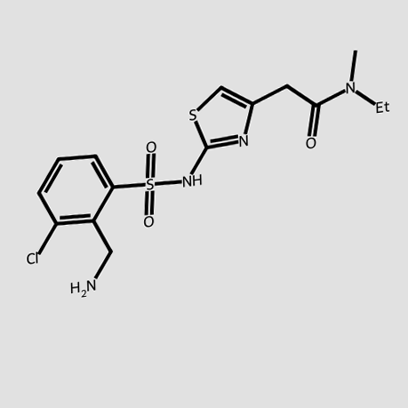 CCN(C)C(=O)Cc1csc(NS(=O)(=O)c2cccc(Cl)c2CN)n1